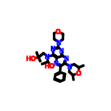 CC1CN(c2nc3nc(N4CCOCC4)nc(N(CC(C)(C)O)C(C)O)c3nc2-c2ccccc2)CC(C)O1